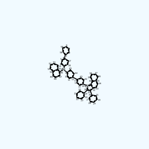 c1ccc(-c2ccc(N(c3ccc(-c4ccc(-n5c(-c6ccccc6)c(-c6ccccc6)c6ccc7ccccc7c65)cc4)cc3)c3cccc4ccccc34)cc2)cc1